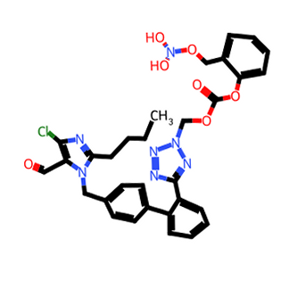 CCCCc1nc(Cl)c(C=O)n1Cc1ccc(-c2ccccc2-c2nnn(COC(=O)Oc3ccccc3CON(O)O)n2)cc1